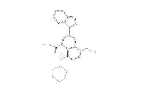 CCc1ccc(NC2CCCCC2)c2c(C(=O)O)cc(-c3coc4ccccc34)nc12